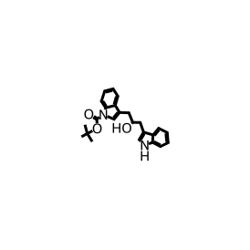 CC(C)(C)OC(=O)n1cc(CC(O)Cc2c[nH]c3ccccc23)c2ccccc21